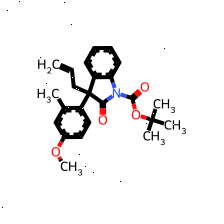 C=CCC1(c2ccc(OC)cc2C)C(=O)N(C(=O)OC(C)(C)C)c2ccccc21